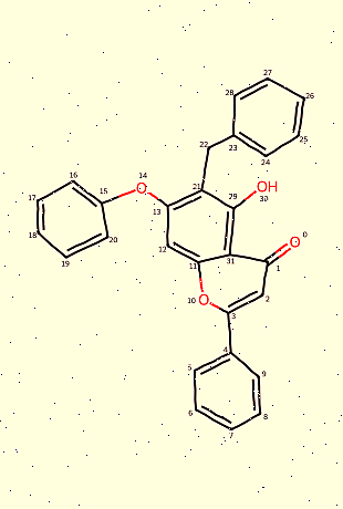 O=c1cc(-c2ccccc2)oc2cc(Oc3ccccc3)c(Cc3ccccc3)c(O)c12